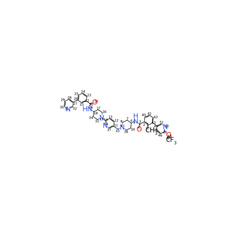 Cc1c(C(=O)NC2CCN(Cc3ccc(N4CCC(NC(=O)c5cccc(-c6cccnc6)c5)CC4)nc3)CC2)cccc1-c1ccc(OC(F)(F)F)nc1